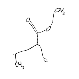 C[CH]C(Cl)C(=O)OC